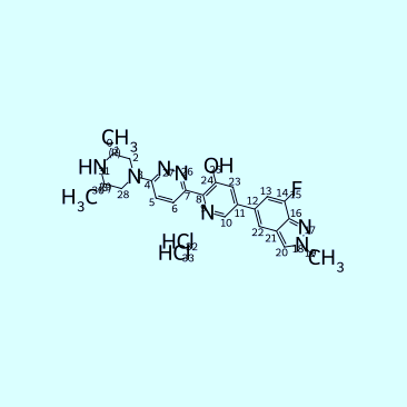 C[C@@H]1CN(c2ccc(-c3ncc(-c4cc(F)c5nn(C)cc5c4)cc3O)nn2)C[C@H](C)N1.Cl.Cl